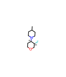 CC1CCN([C@@H]2CCOC[C@@H]2F)CC1